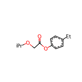 CCc1ccc(OC(=O)COC(C)C)cc1